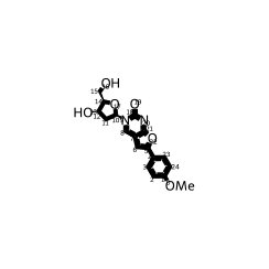 COc1ccc(-c2cc3cn([C@H]4C[C@H](O)[C@@H](CO)O4)c(=O)nc3o2)cc1